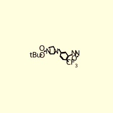 CC(C)(C)OC(=O)N1CCN(Cc2ccc(C(F)(F)F)c(-c3nnco3)c2)CC1